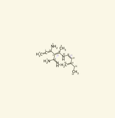 C=C=C(N)/C(C(=N)N)=C(\C)N/C=C\C(=C)CC